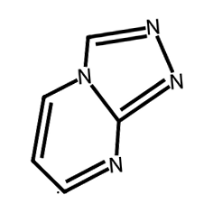 [c]1ccn2cnnc2n1